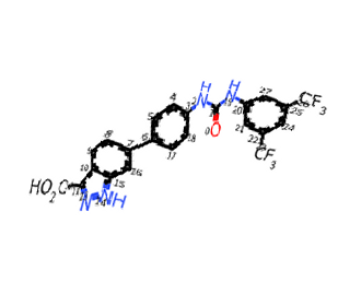 O=C(Nc1ccc(-c2ccc3c(C(=O)O)n[nH]c3c2)cc1)Nc1cc(C(F)(F)F)cc(C(F)(F)F)c1